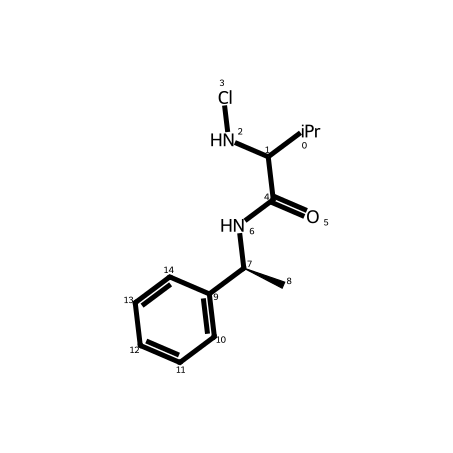 CC(C)C(NCl)C(=O)N[C@@H](C)c1ccccc1